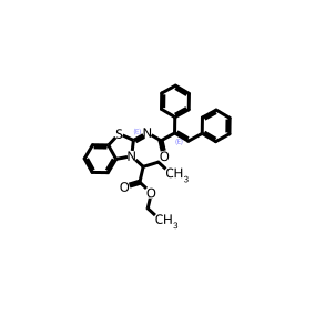 CCOC(=O)C(CC)n1/c(=N\C(=O)/C(=C/c2ccccc2)c2ccccc2)sc2ccccc21